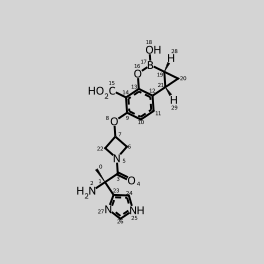 C[C@@](N)(C(=O)N1CC(Oc2ccc3c(c2C(=O)O)OB(O)[C@@H]2C[C@H]32)C1)c1c[nH]cn1